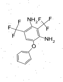 Nc1c(Oc2ccccc2)cc(C(F)(F)F)c(N)c1C(F)(F)F